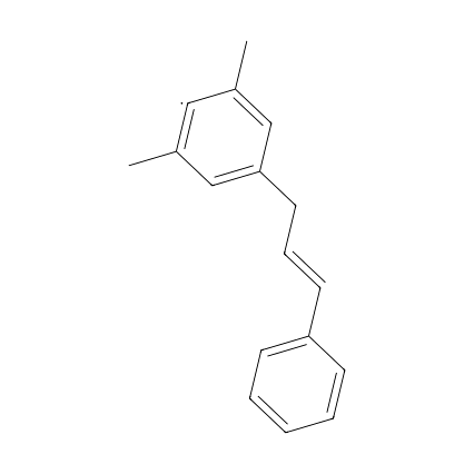 Cc1[c]c(C)cc(CC=Cc2ccccc2)c1